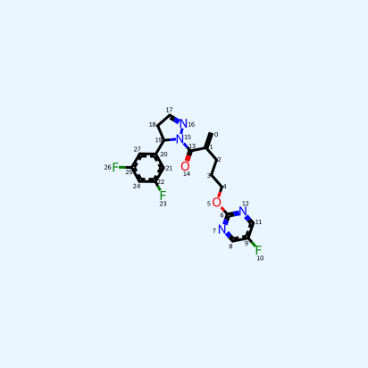 C=C(CCCOc1ncc(F)cn1)C(=O)N1N=CCC1c1cc(F)cc(F)c1